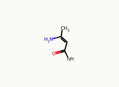 CCCC(=O)C=C(C)N